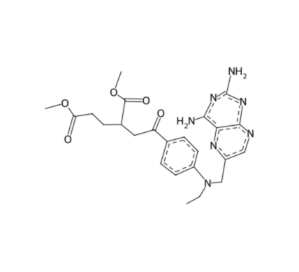 CCN(Cc1cnc2nc(N)nc(N)c2n1)c1ccc(C(=O)CC(CCC(=O)OC)C(=O)OC)cc1